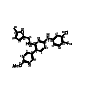 COc1ncc(-c2cnc(Nc3ccc(F)c(Cl)c3)nc2NCc2ccc(C)o2)cn1